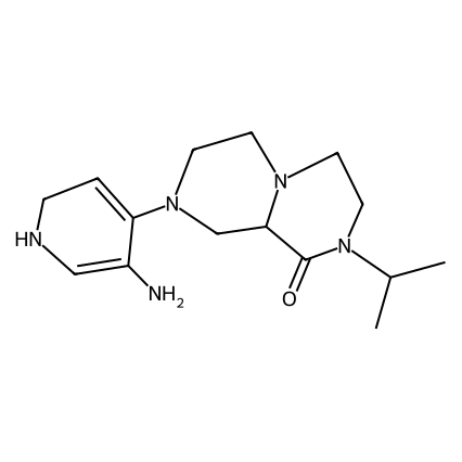 CC(C)N1CCN2CCN(C3=CCNC=C3N)CC2C1=O